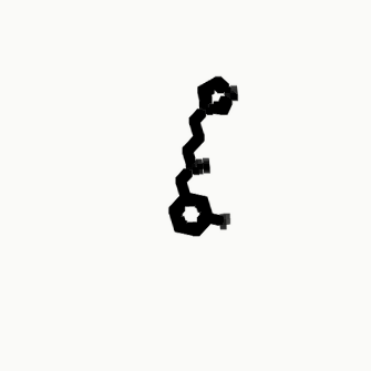 Fc1cccc(CNCCCn2ccnc2)c1